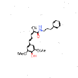 COc1cc(C=CC=C(C#N)C(=O)NCCCc2ccccc2)cc(OC)c1O